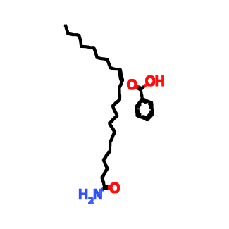 CCCCCCCC/C=C\CCCCCCCCCCCC(N)=O.O=C(O)c1ccccc1